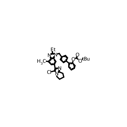 CCc1nc2c(C)cc(-c3nc4n(c3Cl)CCCC4)cc2n1Cc1ccc(-c2ccccc2OC(=O)OC(C)(C)C)cc1